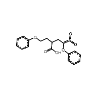 O=C(O)C(CCOc1ccccc1)CC(Oc1ccccc1)=S(=O)=O